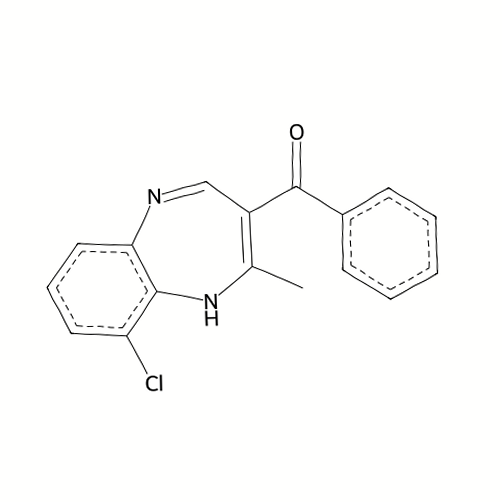 CC1=C(C(=O)c2ccccc2)C=Nc2cccc(Cl)c2N1